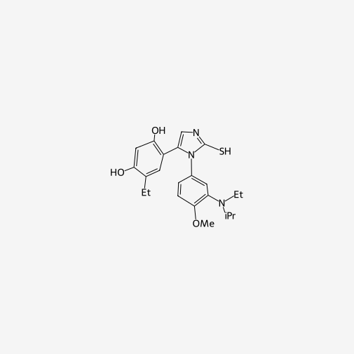 CCc1cc(-c2cnc(S)n2-c2ccc(OC)c(N(CC)C(C)C)c2)c(O)cc1O